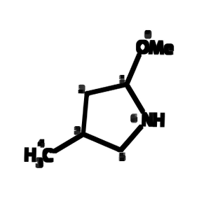 COC1CC(C)CN1